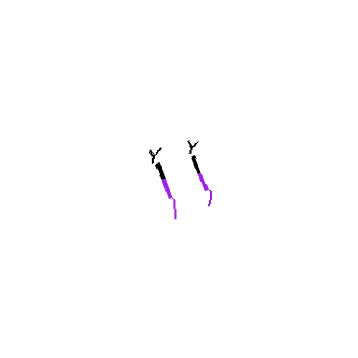 [Y][I].[Y][I]